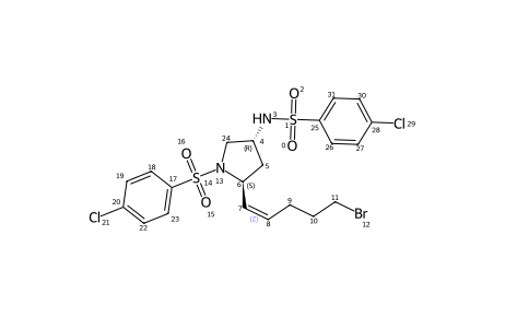 O=S(=O)(N[C@@H]1C[C@@H](/C=C\CCCBr)N(S(=O)(=O)c2ccc(Cl)cc2)C1)c1ccc(Cl)cc1